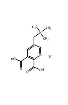 C[N+](C)(C)Cc1cnc(C(=O)O)c(C(=O)O)c1.[Br-]